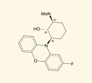 CN[C@H]1CCC[C@@H](N2c3ccccc3Oc3ccc(F)cc32)[C@@H]1O